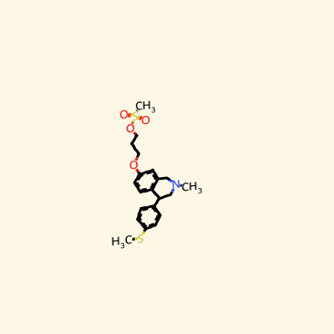 CSc1ccc(C2CN(C)Cc3cc(OCCCOS(C)(=O)=O)ccc32)cc1